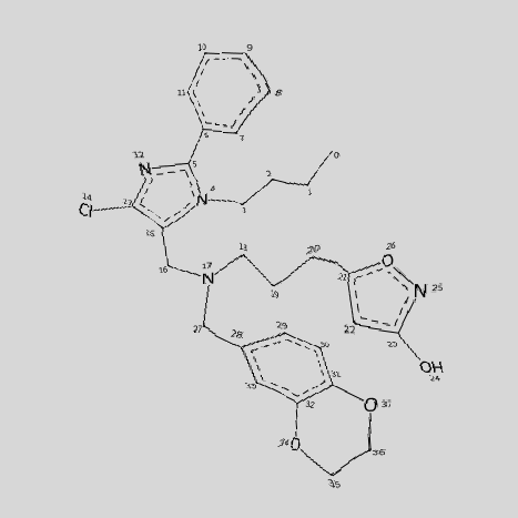 CCCCn1c(-c2ccccc2)nc(Cl)c1CN(CCCc1cc(O)no1)Cc1ccc2c(c1)OCCO2